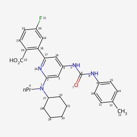 CCCN(c1cc(NC(=O)Nc2ccc(C)cc2)cc(-c2cc(F)ccc2C(=O)O)n1)C1CCCCC1